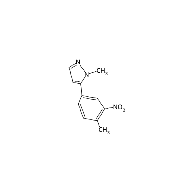 Cc1ccc(-c2ccnn2C)cc1[N+](=O)[O-]